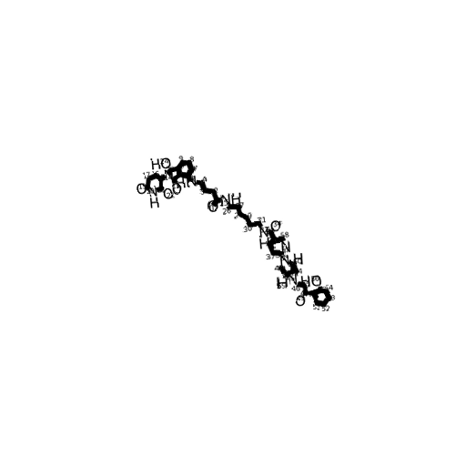 O=C(CCCNc1cccc2c1C(=O)N(C1CCC(=O)NC1=O)C2O)NCCCCCCNC(=O)c1ccc(N2C[C@H]3C[C@@H]2CN3/C=C/C(=O)c2ccccc2O)nc1